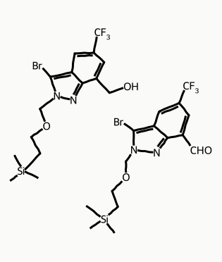 C[Si](C)(C)CCOCn1nc2c(C=O)cc(C(F)(F)F)cc2c1Br.C[Si](C)(C)CCOCn1nc2c(CO)cc(C(F)(F)F)cc2c1Br